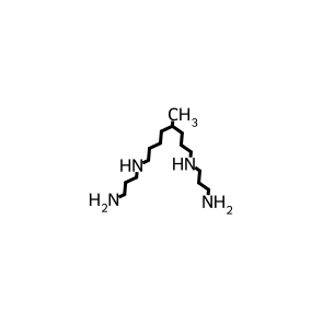 CC(CCCCNCCCN)CCCNCCCN